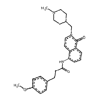 COc1ccc(CCC(=O)Nc2cccc3c(=O)n(CC4CCN(C)CC4)ccc23)cc1